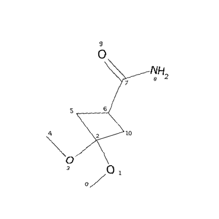 COC1(OC)CC(C(N)=O)C1